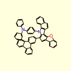 c1ccc(N(c2ccccc2)c2ccc(-n3c4c(-c5ccc6c7ccccc7c7ccccc7c6c5)cc5c6ccccc6oc5c4c4ccc5ccccc5c43)cc2)cc1